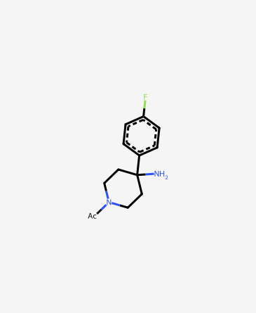 CC(=O)N1CCC(N)(c2ccc(F)cc2)CC1